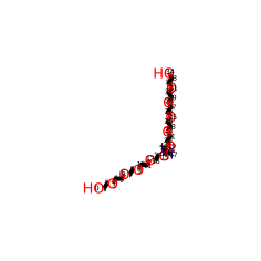 OCCOCCOCCOCCOCCO[Te](I)(I)OCCOCCOCCOCCOCCO